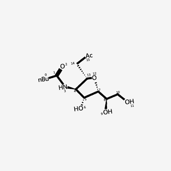 CCCCC(=O)N[C@@H]1[C@@H](O)[C@@H]([C@H](O)CO)O[C@H]1CC(C)=O